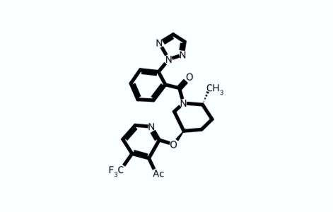 CC(=O)c1c(C(F)(F)F)ccnc1O[C@@H]1CC[C@@H](C)N(C(=O)c2ccccc2-n2nccn2)C1